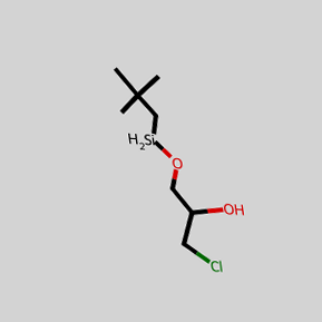 CC(C)(C)C[SiH2]OCC(O)CCl